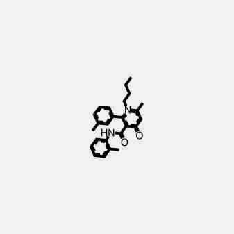 CCCCn1c(C)cc(=O)c(C(=O)Nc2ccccc2C)c1-c1cccc(C)c1